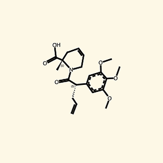 C=CC[C@H](C(=O)N1CC=CC[C@@]1(C)C(=O)O)c1cc(OC)c(OC)c(OC)c1